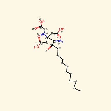 CCCCCCCCCCCC(=O)C(N)C(CC(=O)O)(CC(=O)O)NCC(=O)O